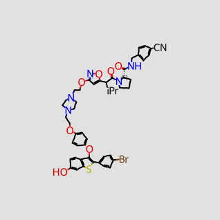 CC(C)C(C(=O)N1CCC[C@H]1C(=O)NCc1ccc(C#N)cc1)c1cc(OCCN2CCN(CCOc3ccc(Oc4c(-c5ccc(Br)cc5)sc5cc(O)ccc45)cc3)CC2)no1